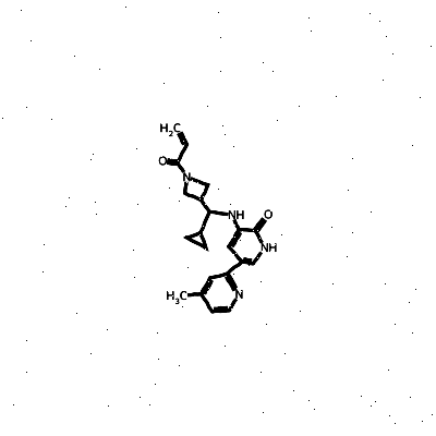 C=CC(=O)N1CC(C(Nc2cc(-c3cc(C)ccn3)c[nH]c2=O)C2CC2)C1